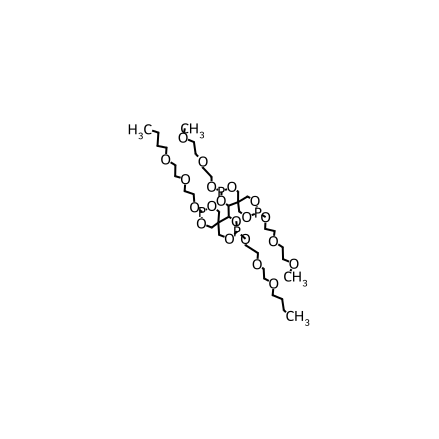 CCCCOCCOCCOP1OCC2(CO1)COP(OCCOCCOCCCC)OC2C1OP(OCCOCCOC)OCC12COP(OCCOCCOC)OC2